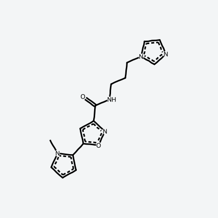 Cn1cccc1-c1cc(C(=O)NCCCn2ccnc2)no1